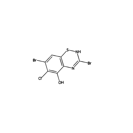 Oc1c(Cl)c(Br)cc2c1N=C(Br)NS2